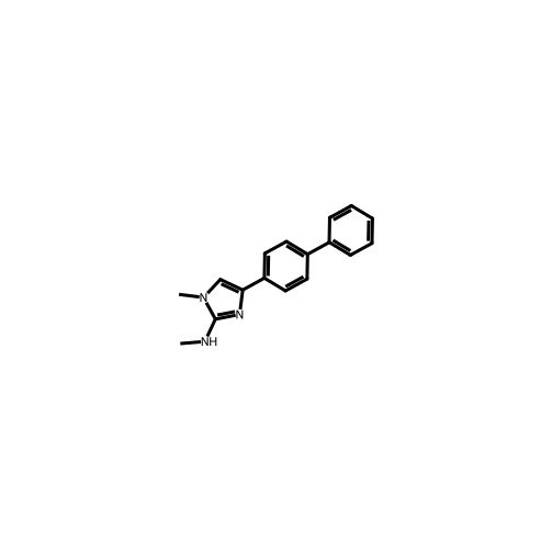 CNc1nc(-c2ccc(-c3ccccc3)cc2)cn1C